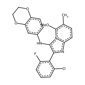 COc1c(C)ccc2nc(-c3c(F)cccc3Cl)c(Nc3ccc4c(c3)OCCO4)n12